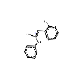 CC/C(=C/c1nccnc1S)Nc1ccccc1